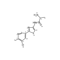 Cc1ncc(-c2nc(NC(=O)C(C)N)cs2)cc1Cl